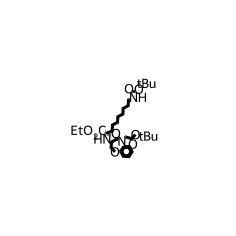 CCOC(=O)[C@H](CCCCCCCCNC(=O)OC(C)(C)C)NC1COc2ccccc2N(CC(=O)OC(C)(C)C)C1=O